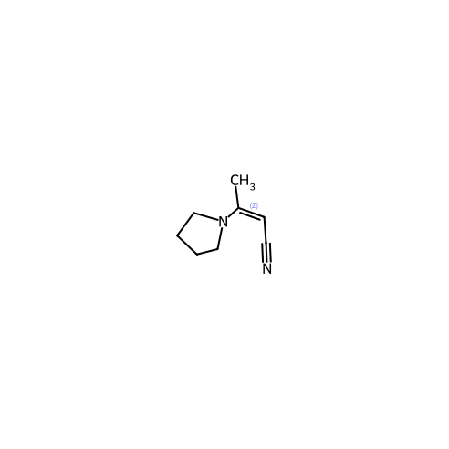 C/C(=C/C#N)N1CCCC1